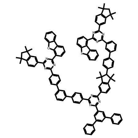 CC1(C)CC(C)(C)c2cc(-c3nc(-c4ccc(-c5cccc(-c6ccc(-c7nc(-c8cc(-c9ccccc9)cc(-c9ccccc9)c8)nc(-c8ccc9c(c8)C(C)(C)C(c8ccc(-c%10cccc(-c%11nc(-c%12ccc%13c(c%12)C(C)(C)CC%13(C)C)nc(-c%12cccc%13sc%14ccccc%14c%12%13)n%11)c%10)cc8)C9(C)C)n7)cc6)c5)cc4)nc(-c4cccc5c4oc4ccccc45)n3)ccc21